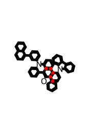 c1cc(-c2ccccc2-n2c3ccccc3c3ccccc32)cc(N(c2cccc(-c3cccc4ccccc34)c2)c2ccccc2-c2cccc3c2oc2ccccc23)c1